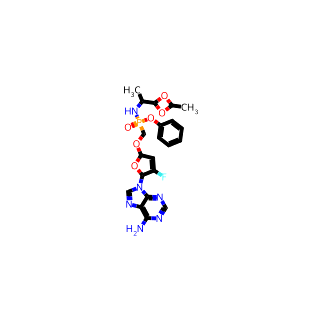 CC1OC(C(C)NP(=O)(COC2C=C(F)C(n3cnc4c(N)ncnc43)O2)Oc2ccccc2)O1